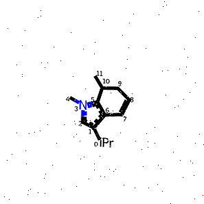 CC(C)c1cn(C)c2c1C=CCC2C